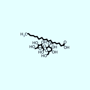 CCCCCCCCCCCCCCCCCC(=O)O.OCC1OC(OC2(CO)OC(CO)C(O)C2O)C(O)C(O)C1O